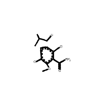 COc1c(Cl)ccc(Cl)c1C(=O)P.[Li][CH2]C(C)C